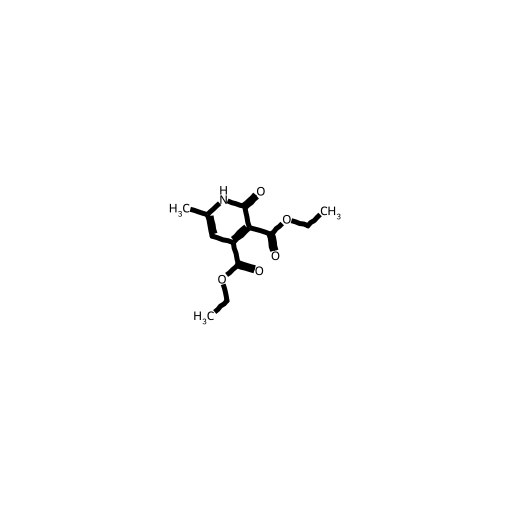 CCOC(=O)c1cc(C)[nH]c(=O)c1C(=O)OCC